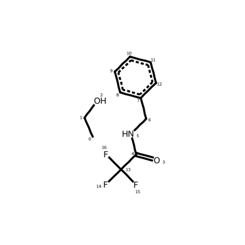 CCO.O=C(NCc1ccccc1)C(F)(F)F